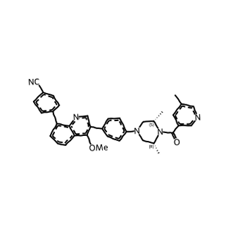 COc1c(-c2ccc(N3C[C@@H](C)N(C(=O)c4cncc(C)c4)[C@@H](C)C3)cc2)cnc2c(-c3ccc(C#N)cc3)cccc12